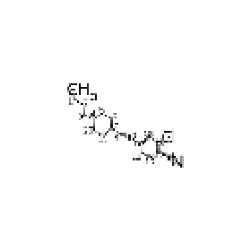 CCCCC1CCC(C#Cc2ccc(C#N)c(Cl)c2)CC1